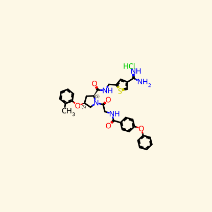 Cc1ccccc1O[C@H]1C[C@@H](C(=O)NCc2cc(C(=N)N)cs2)N(C(=O)CNC(=O)c2ccc(Oc3ccccc3)cc2)C1.Cl